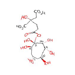 O=C(O)CC(O)(CC(=O)O[C@]1(O)[C@H](O)[C@H](O)[C@@H](O)[C@H](O)[C@H]1O)C(=O)O